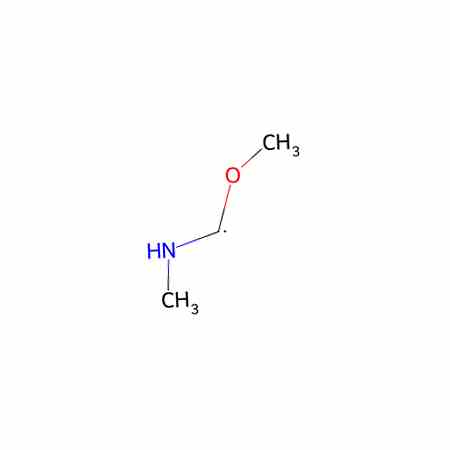 CN[CH]OC